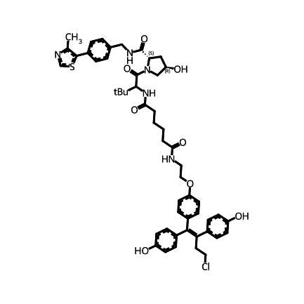 Cc1ncsc1-c1ccc(CNC(=O)[C@@H]2C[C@@H](O)CN2C(=O)C(NC(=O)CCCCC(=O)NCCOc2ccc(C(=C(CCCl)c3ccc(O)cc3)c3ccc(O)cc3)cc2)C(C)(C)C)cc1